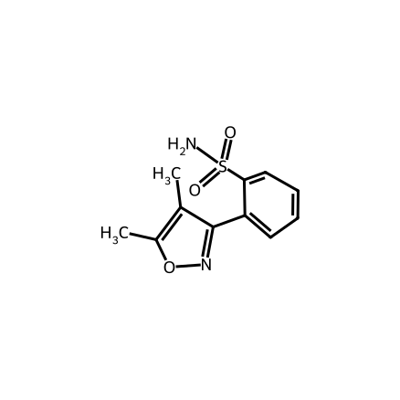 Cc1onc(-c2ccccc2S(N)(=O)=O)c1C